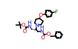 CC(C)(C)OC(=O)NC[C@@H](CNC(=O)OCc1ccccc1)N1CCC(Oc2ccc(F)cc2)CC1